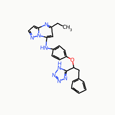 CCc1cc(Nc2ccc(OC(Cc3ccccc3)c3nnn[nH]3)cc2)n2nccc2n1